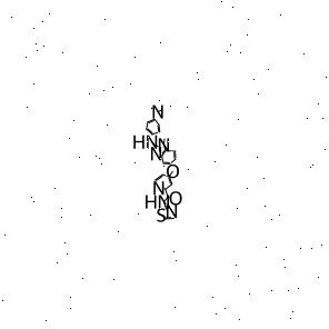 CN(C)c1ccc(Nc2nc3cc(Oc4ccnc(C(=O)Nc5nccs5)c4)ccc3n2C)cc1